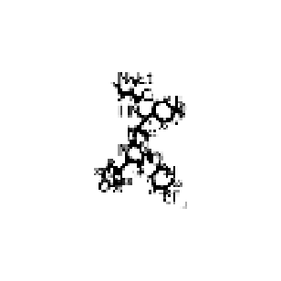 CCn1nccc1C(=O)N[C@H](c1cn2nc(C[C@H]3C[C@@H](C(F)(F)F)CNC3=O)c(C34CCOC(C3)C4)nc2n1)C1CCC(F)(F)CC1